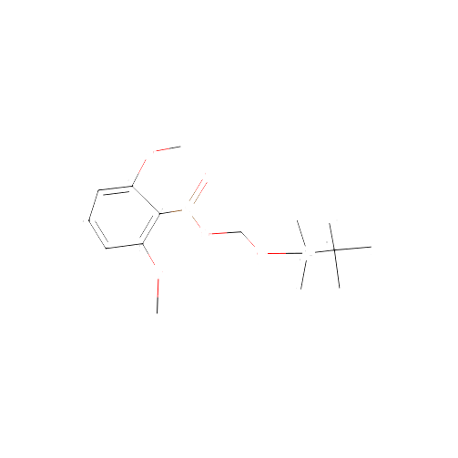 COc1cccc(OC)c1S(=O)OCO[Si](C)(C)C(C)(C)C